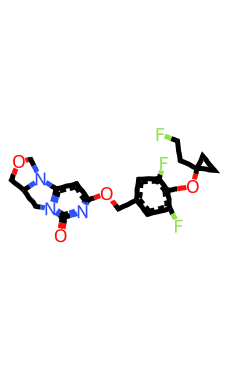 O=c1nc(OCc2cc(F)c(OC3(CCF)CC3)c(F)c2)cc2n1CC1COCN21